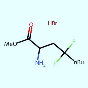 Br.CCCCC(F)(F)CC(N)C(=O)OC